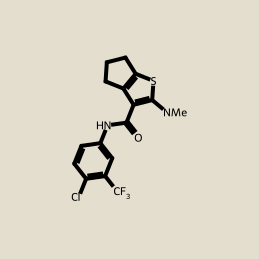 CNc1sc2c(c1C(=O)Nc1ccc(Cl)c(C(F)(F)F)c1)CCC2